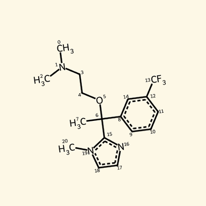 CN(C)CCOC(C)(c1cccc(C(F)(F)F)c1)c1nccn1C